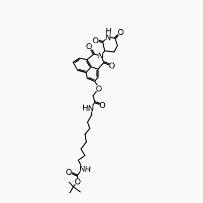 CC(C)(C)OC(=O)NCCCCCCCCNC(=O)COc1cc2c3c(cccc3c1)C(=O)N(C1CCC(=O)NC1=O)C2=O